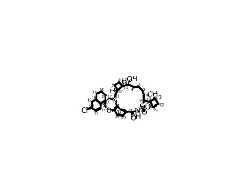 C[C@H]1C/C=C/[C@H](O)[C@@H]2CC[C@H]2CN2C[C@@]3(CCCc4cc(Cl)ccc43)COc3ccc(cc32)C(=O)NS(=O)(=O)C1C1CCC1